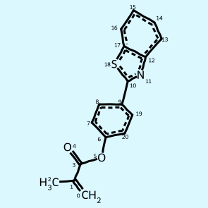 C=C(C)C(=O)Oc1ccc(-c2nc3ccccc3s2)cc1